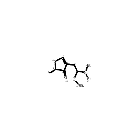 CCCCOC(CC1=CSC(C)C1=O)N(CC)CC